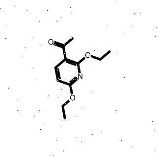 CCOc1ccc(C(C)=O)c(OCC)n1